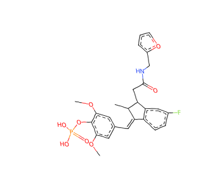 COc1cc(C=C2c3ccc(F)cc3C(CC(=O)NCc3ccco3)C2C)cc(OC)c1OP(=O)(O)O